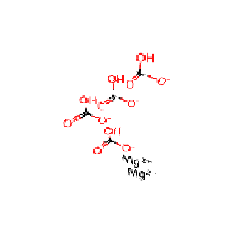 O=C([O-])O.O=C([O-])O.O=C([O-])O.O=C([O-])O.[Mg+2].[Mg+2]